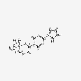 CC1(C)CN(c2ncc(-c3nnn[nH]3)cn2)CCN1